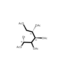 CC[C@@H](OC(C)=O)C(OC(C)=O)[C@H](OC(C)=O)[C@H](COC(C)=O)OC(C)=O